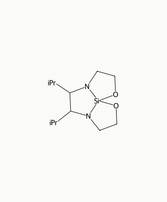 CC(C)C1C(C(C)C)N2CCO[Si]23OCCN13